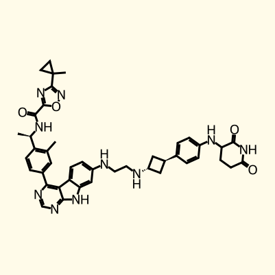 Cc1cc(-c2ncnc3[nH]c4cc(NCCN[C@H]5C[C@H](c6ccc(NC7CCC(=O)NC7=O)cc6)C5)ccc4c23)ccc1[C@@H](C)NC(=O)c1nc(C2(C)CC2)no1